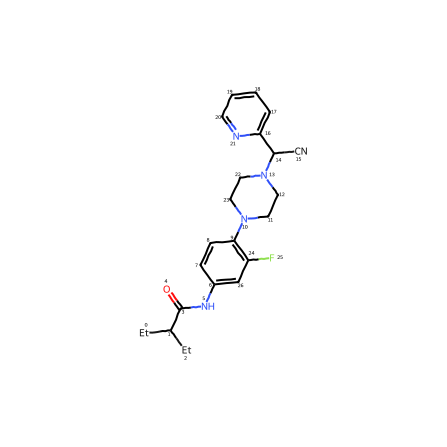 CCC(CC)C(=O)Nc1ccc(N2CCN(C(C#N)c3ccccn3)CC2)c(F)c1